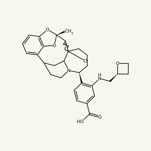 C[C@]12Oc3cccc(c3O1)C1CCN3C(C1)C1(CCC[C@H]3c3ccc(C(=O)O)cc3NC[C@@H]3CCO3)C(Cl)=CC=C12